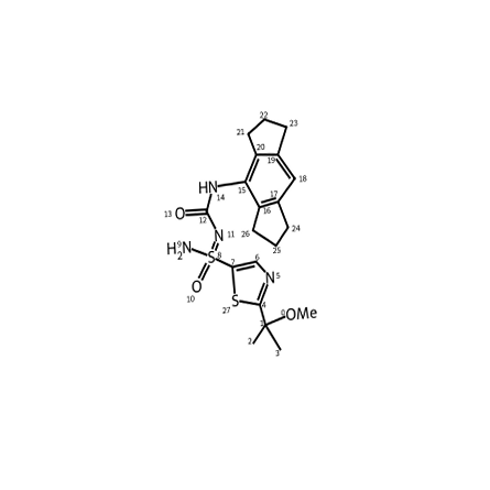 COC(C)(C)c1ncc(S(N)(=O)=NC(=O)Nc2c3c(cc4c2CCC4)CCC3)s1